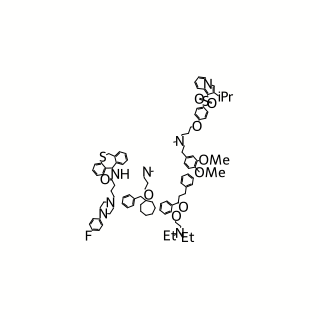 CCN(CC)CCOc1ccccc1C(=O)CCc1ccccc1.CN(C)CCCOC1(Cc2ccccc2)CCCCCC1.COc1ccc(CCN(C)CCCOc2ccc(S(=O)(=O)c3c(C(C)C)cn4ccccc34)cc2)cc1OC.O=C(CCCN1CCN(c2ccc(F)cc2)CC1)NC1c2ccccc2CSc2ccccc21